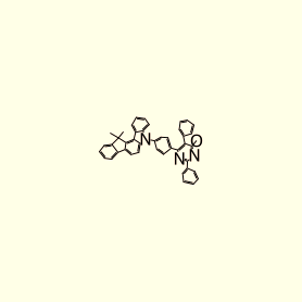 CC1(C)c2ccccc2-c2ccc3c(c21)c1ccccc1n3-c1ccc(-c2nc(-c3ccccc3)nc3oc4ccccc4c23)cc1